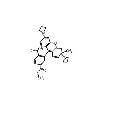 COC(=O)c1ccc(C(=O)O)c(C2=C3C=CC(C)(N4CCC4)C=C3Oc3cc(N4CCC4)ccc32)c1